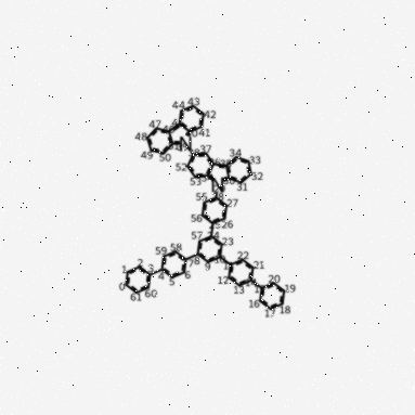 c1ccc(-c2ccc(-c3cc(-c4ccc(-c5ccccc5)cc4)cc(-c4ccc(-n5c6ccccc6c6cc(-n7c8ccccc8c8ccccc87)ccc65)cc4)c3)cc2)cc1